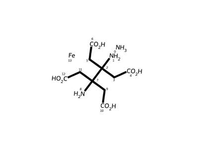 N.NC(CC(=O)O)(CC(=O)O)C(N)(CC(=O)O)CC(=O)O.[Fe]